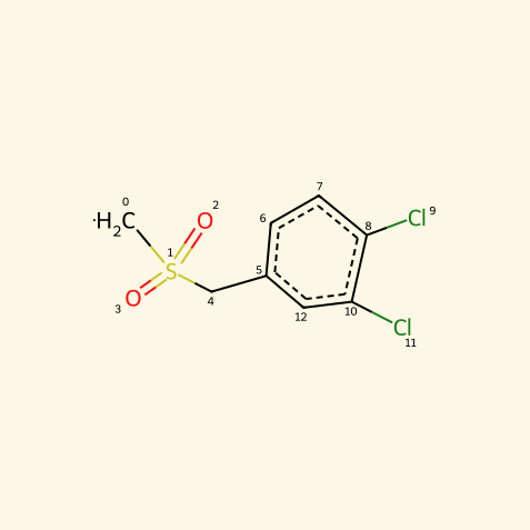 [CH2]S(=O)(=O)Cc1ccc(Cl)c(Cl)c1